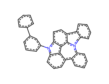 c1ccc(-c2cccc(-n3c4cccc5c6ccccc6n6c7ccccc7c7ccc3c(c54)c76)c2)cc1